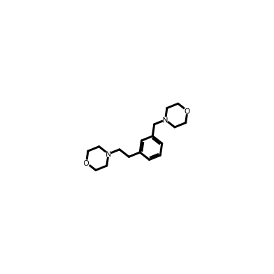 c1cc(CCN2CCOCC2)cc(CN2CCOCC2)c1